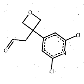 O=CCC1(c2cc(Cl)nc(Cl)c2)COC1